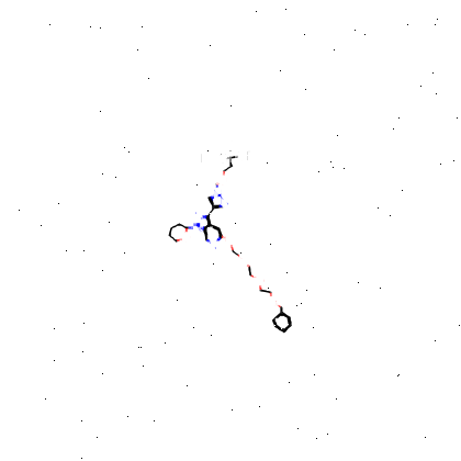 C[Si](C)(C)CCOCn1cc(-c2nn(C3CCCCO3)c3cnc(OCCOCCOCCOCc4ccccc4)cc23)cn1